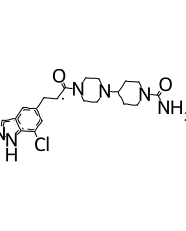 NC(=O)N1CCC(N2CCN(C(=O)[CH]Cc3cc(Cl)c4[nH]ncc4c3)CC2)CC1